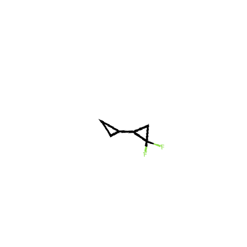 FC1(F)CC1[C]1CC1